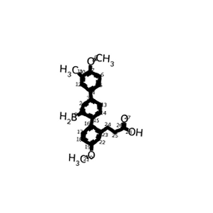 Bc1cc(-c2ccc(OC)c(C)c2)ccc1-c1ccc(OC)cc1CCC(=O)O